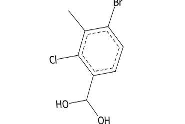 Cc1c(Br)ccc(C(O)O)c1Cl